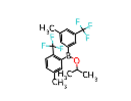 Cc1cc(B(OC(C)C)c2cc(C)ccc2C(F)(F)F)cc(C(F)(F)F)c1